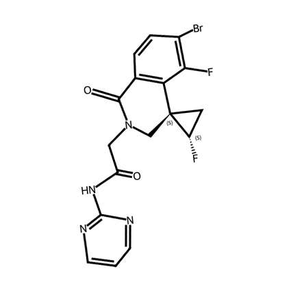 O=C(CN1C[C@]2(C[C@@H]2F)c2c(ccc(Br)c2F)C1=O)Nc1ncccn1